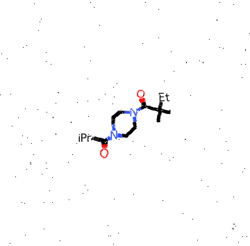 CCC(C)(C)C(=O)N1CCN(C(=O)C(C)C)CC1